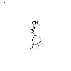 CSOC1CCNC(=O)C1